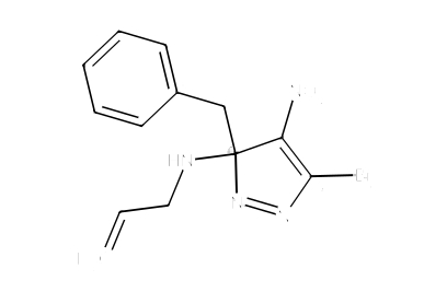 C=CCNC1(Cc2ccccc2)N=NC(Br)=C1[N+](=O)[O-]